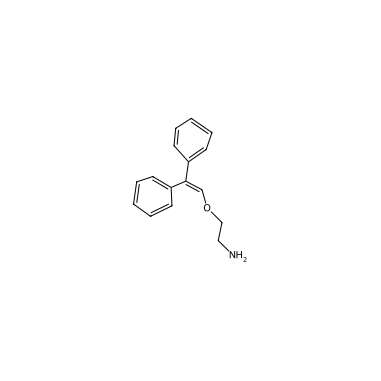 NCCOC=C(c1ccccc1)c1ccccc1